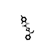 CCN(c1ccccc1)C1CN(C(=O)Nc2ccc(C)cc2C)C1